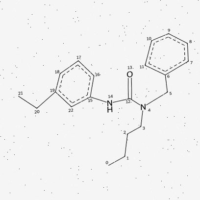 CCCCN(Cc1ccccc1)C(=O)Nc1cccc(CC)c1